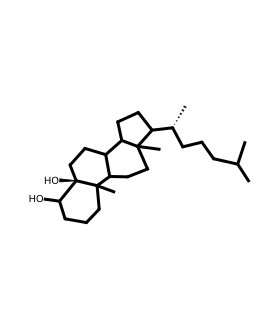 CC(C)CCC[C@@H](C)C1CCC2C3CC[C@@]4(O)C(O)CCCC4(C)C3CCC21C